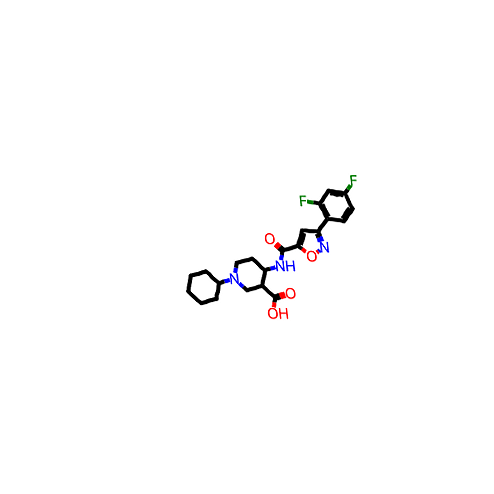 O=C(NC1CCN(C2CCCCC2)CC1C(=O)O)c1cc(-c2ccc(F)cc2F)no1